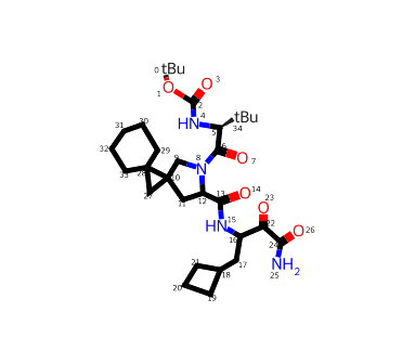 CC(C)(C)OC(=O)N[C@H](C(=O)N1CC2(CC1C(=O)NC(CC1CCC1)C(=O)C(N)=O)CC21CCCCC1)C(C)(C)C